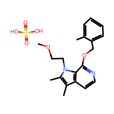 COCCn1c(C)c(C)c2ccnc(OCc3ccccc3C)c21.O=S(=O)(O)O